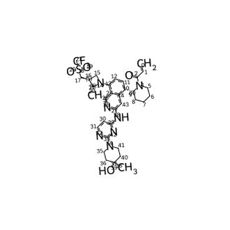 C=CC(=O)N1CCCC[C@@H]1c1ccc(N2C[C@H](CS(=O)(=O)C(F)(F)F)[C@H]2C)c2cnc(Nc3ccnc(N4CCC(C)(O)CC4)n3)cc12